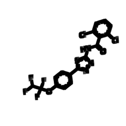 O=C(Nc1nnc(-c2ccc(OC(F)(F)C(F)F)cc2)s1)c1c(Cl)cccc1Cl